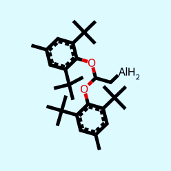 Cc1cc(C(C)(C)C)c(OC([CH2][AlH2])Oc2c(C(C)(C)C)cc(C)cc2C(C)(C)C)c(C(C)(C)C)c1